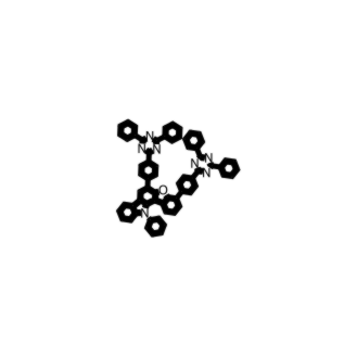 c1ccc(-c2nc(-c3ccccc3)nc(-c3ccc(-c4cccc5c4oc4c(-c6ccc(-c7nc(-c8ccccc8)nc(-c8ccccc8)n7)cc6)cc6c7ccccc7n(-c7ccccc7)c6c45)cc3)n2)cc1